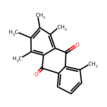 Cc1cccc2c1C(=O)c1c(C)c(C)c(C)c(C)c1C2=O